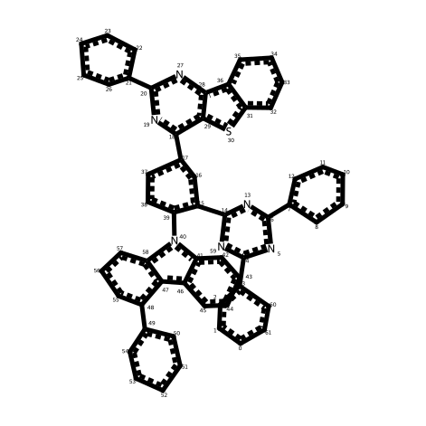 c1ccc(-c2nc(-c3ccccc3)nc(-c3cc(-c4nc(-c5ccccc5)nc5c4sc4ccccc45)ccc3-n3c4ccccc4c4c(-c5ccccc5)cccc43)n2)cc1